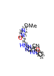 COCCN1CCN(C(=O)CCCNc2nccc(C(C#N)=C3Nc4ccccc4O3)n2)CC1